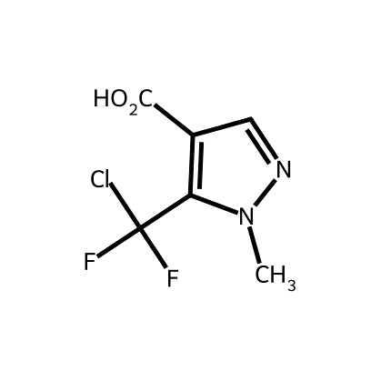 Cn1ncc(C(=O)O)c1C(F)(F)Cl